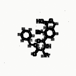 CCc1c(C(=O)NC(C(=O)OCc2ccccc2)C(C)C)ccc2c1B(O)OC2